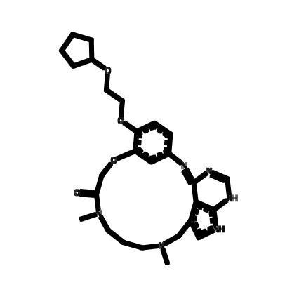 CN1CCCN(C)C(=O)COc2cc(ccc2OCCOC2CCCC2)/N=C2/N=CNc3[nH]cc(c32)C1